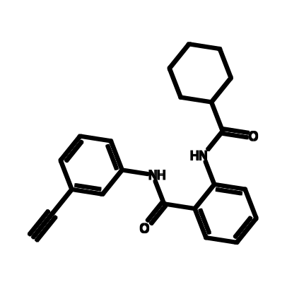 C#Cc1cccc(NC(=O)c2ccccc2NC(=O)C2CCCCC2)c1